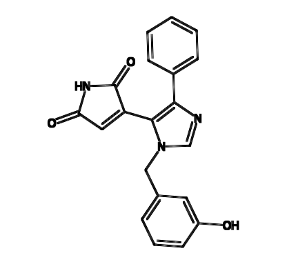 O=C1C=C(c2c(-c3ccccc3)ncn2Cc2cccc(O)c2)C(=O)N1